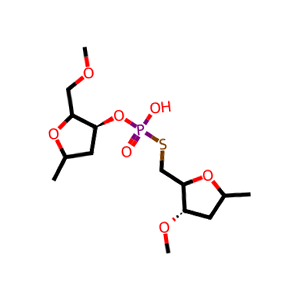 COCC1OC(C)C[C@@H]1OP(=O)(O)SCC1OC(C)C[C@@H]1OC